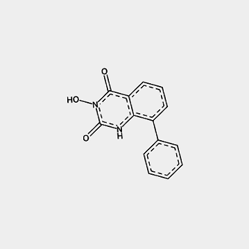 O=c1[nH]c2c(-c3ccccc3)cccc2c(=O)n1O